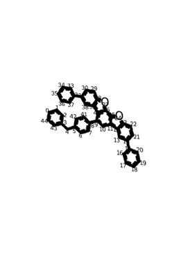 c1ccc(Cc2ccc(-c3cc4c5cc(-c6ccccc6)ccc5oc4c4oc5ccc(-c6ccccc6)cc5c34)cc2)cc1